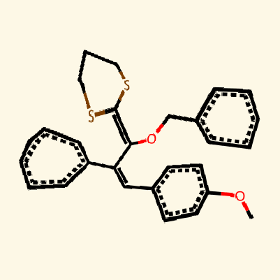 COc1ccc(C=C(C(OCc2ccccc2)=C2SCCCS2)c2ccccc2)cc1